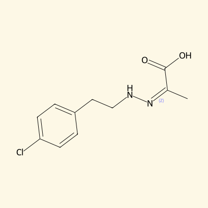 C/C(=N/NCCc1ccc(Cl)cc1)C(=O)O